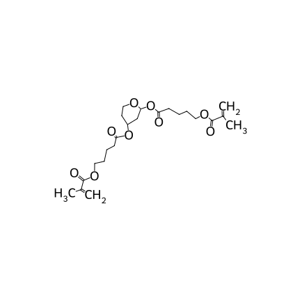 C=C(C)C(=O)OCCCCC(=O)OC1CCOC(OC(=O)CCCCOC(=O)C(=C)C)C1